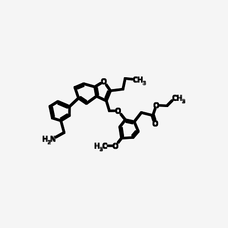 CCCc1oc2ccc(-c3cccc(CN)c3)cc2c1COc1cc(OC)ccc1CC(=O)OCC